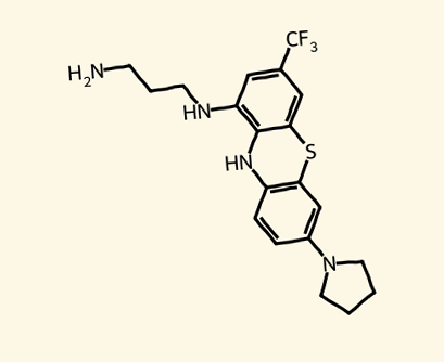 NCCCNc1cc(C(F)(F)F)cc2c1Nc1ccc(N3CCCC3)cc1S2